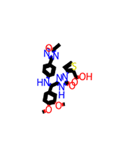 COc1ccc(C(Nc2ccc(-c3noc(C)n3)cc2)c2nn(-c3ccsc3C(=O)O)c(=O)[nH]2)cc1OC